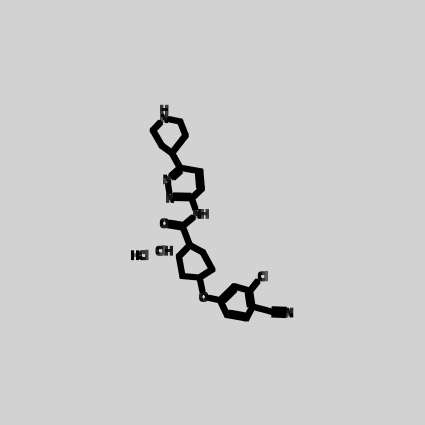 Cl.Cl.N#Cc1ccc(OC2CCC(C(=O)Nc3ccc(C4CCNCC4)nn3)CC2)cc1Cl